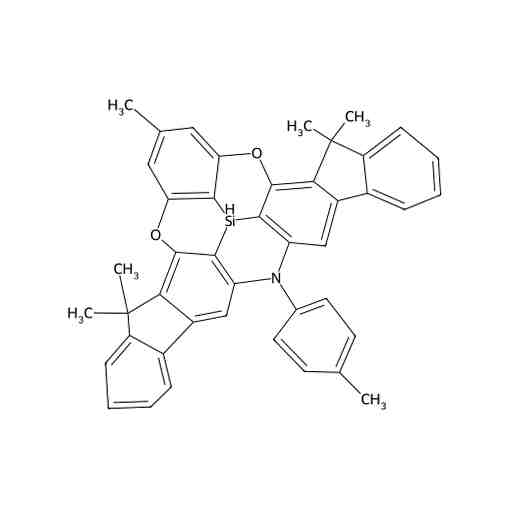 Cc1ccc(N2c3cc4c(c5c3[SiH]3c6c(cc(C)cc6Oc6c3c2cc2c6C(C)(C)c3ccccc3-2)O5)C(C)(C)c2ccccc2-4)cc1